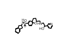 O=S(=O)(NC1Cc2ccccc2C1)c1ccc2c(c1)CCC(CNCC(O)c1cccnc1)O2